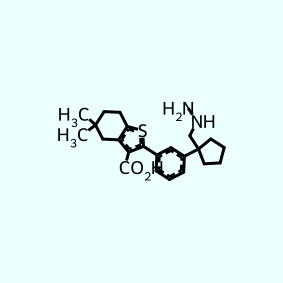 CC1(C)CCc2sc(-c3cccc(C4(CNN)CCCC4)c3)c(C(=O)O)c2C1